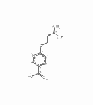 CC(C)CCOc1ccc(C(=O)O)cn1